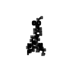 CCOC(=O)N1CC2(CC[C@@H](N3CCN(c4ncc(F)cc4-c4cnn(CC)c4)CC3)C2)C1